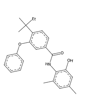 CCC(C)(C)c1ccc(C(=O)Nc2c(C)cc(C)cc2O)cc1Oc1ccccc1